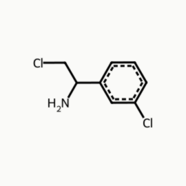 NC(CCl)c1cccc(Cl)c1